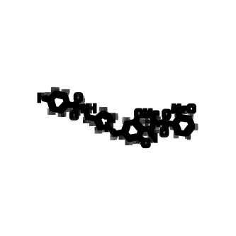 COc1ccccc1S(=O)(=O)Nc1noc2cc(Cn3cc(CNS(=O)(=O)c4ccc(F)cc4)cn3)cc(OC)c12